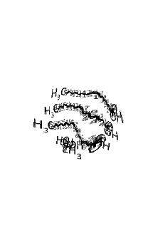 CC(CO)(CO)CO.CCCCCCCC/C=C\CCCCCCCC(=O)O.CCCCCCCC/C=C\CCCCCCCC(=O)O.CCCCCCCC/C=C\CCCCCCCC(=O)O